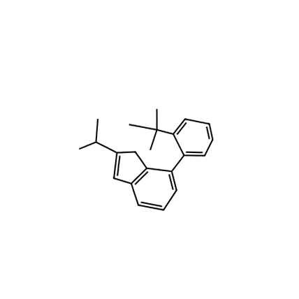 CC(C)C1=Cc2cccc(-c3ccccc3C(C)(C)C)c2C1